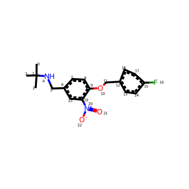 CC(C)(C)NCc1ccc(OCc2ccc(F)cc2)c([N+](=O)[O-])c1